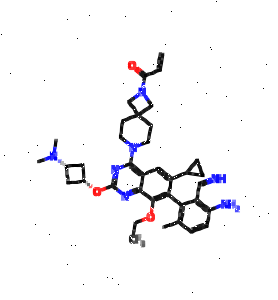 C=CC(=O)N1CC2(CCN(c3nc(O[C@H]4C[C@@H](N(C)C)C4)nc4c(OCC(F)(F)F)c(-c5c(C)ccc(N)c5C=N)c(C5CC5)cc34)CC2)C1